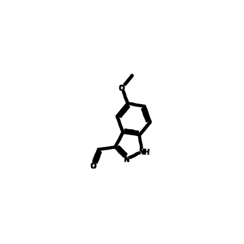 COc1ccc2[nH]nc(C=O)c2c1